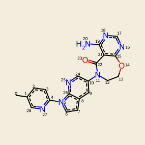 Cc1ccc(-n2ccc3cc(N4CCOc5ncnc(N)c5C4=O)cnc32)nc1